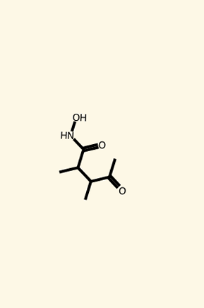 CC(=O)C(C)C(C)C(=O)NO